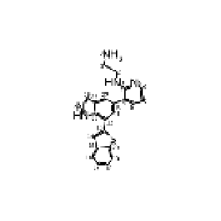 NCCNc1ncccc1-c1cc(-c2cc3ccccc3s2)c2[nH]ncc2c1